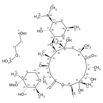 CCCCCCCCCCCCOS(=O)(=O)O.CC[C@H]1OC(=O)[C@H](C)[C@@H](O[C@H]2C[C@@](C)(OC)[C@@H](O)[C@H](C)O2)[C@@H](C)[C@@H](O[C@@H]2O[C@H](C)C[C@H](N(C)C)[C@H]2O)[C@](C)(O)C[C@@H](C)C(=O)[C@H](C)[C@H](O)[C@]1(C)O